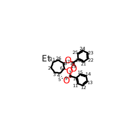 CC[C@H]1CC[C@@H](C)[C@H](OC(=O)c2ccccc2)[C@@H](OC(=O)c2ccccc2)C1